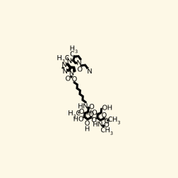 CO[C@@H]1OC(CO)[C@@H](O)[C@H](O[C@@H]2OC(C(=O)NCCCCCCCCOC(=O)n3ccc4c(N(C)[C@H]5CN(C(=O)CC#N)CC[C@H]5C)ncnc43)[C@@H](OC)[C@H](O)C2O)C1NC(C)=O